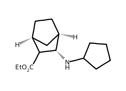 CCOC(=O)C1[C@H]2CC[C@H](C2)[C@@H]1NC1CCCC1